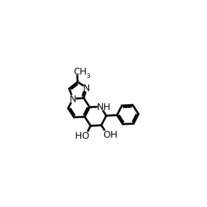 Cc1cn2ccc3c(c2n1)NC(c1ccccc1)C(O)C3O